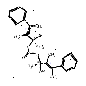 C/C(=C(/C)[C@@](C)(O)O[PH](=O)O[C@](C)(O)/C(C)=C(\C)c1ccccc1)c1ccccc1